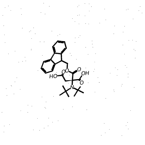 CC(C)(C)N(C(C)(C)C)[C@@](CC(=O)O)(C(=O)O)C(=O)OCC1c2ccccc2-c2ccccc21